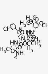 CCC[C@H](NC(=O)[C@@H]1C[C@]2(CC(c3cccc(Cl)c3)=NO2)CN1C(=O)[C@@H](NC(=O)NCc1cc(OC)c(OC)c(OC)c1)C(C)(C)C)C(=O)C(=O)NC1CC1